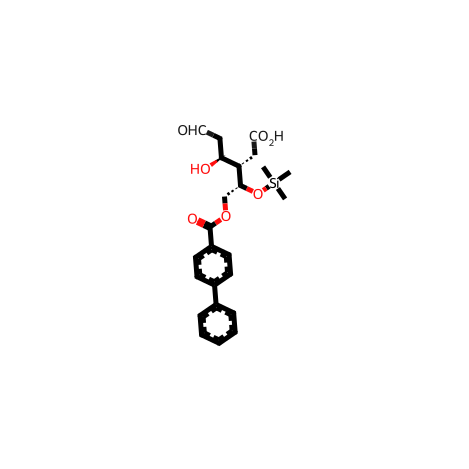 C[Si](C)(C)O[C@H](COC(=O)c1ccc(-c2ccccc2)cc1)[C@@H](CC(=O)O)[C@@H](O)CC=O